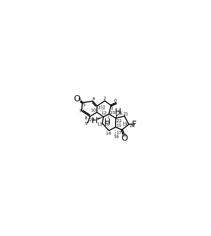 C=C1CC2=CC(=O)C=C(C)[C@]2(C)[C@H]2CC[C@]3(C)C(=O)C(F)C[C@H]3[C@H]12